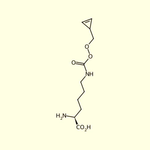 N[C@@H](CCCCNC(=O)OOCC1C=C1)C(=O)O